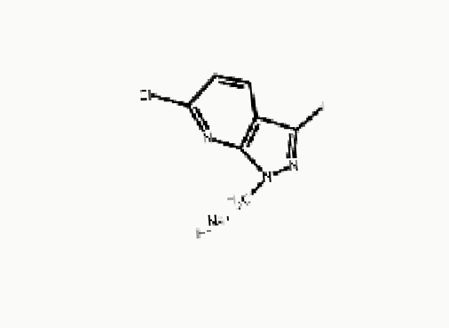 Cn1nc(I)c2ccc(Cl)nc21.[H-].[Na+]